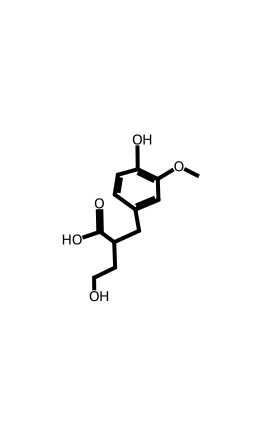 COc1cc(CC(CCO)C(=O)O)ccc1O